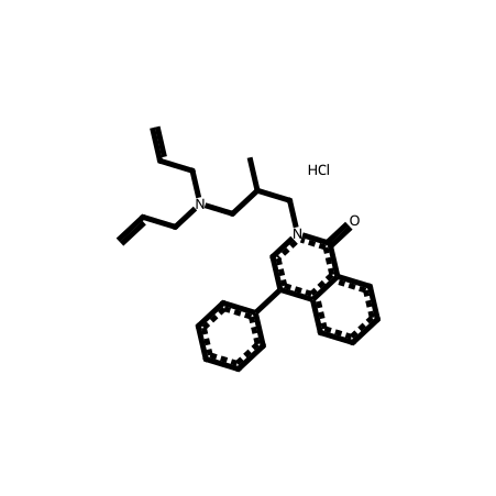 C=CCN(CC=C)CC(C)Cn1cc(-c2ccccc2)c2ccccc2c1=O.Cl